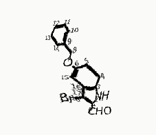 O=Cc1[nH]c2ccc(OCc3ccccc3)cc2c1Br